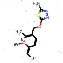 C\C=C(/C=C\C(COc1nnc(N)s1)=C(\C)CC)OC(C)C